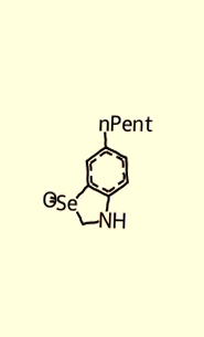 CCCCCc1ccc2c(c1)[Se](=O)CN2